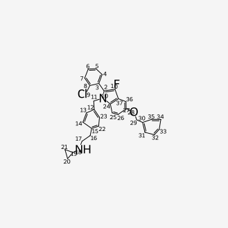 Fc1c(-c2ccccc2Cl)n(Cc2ccc(CCNC3CC3)cc2)c2ccc(OCc3ccccc3)cc12